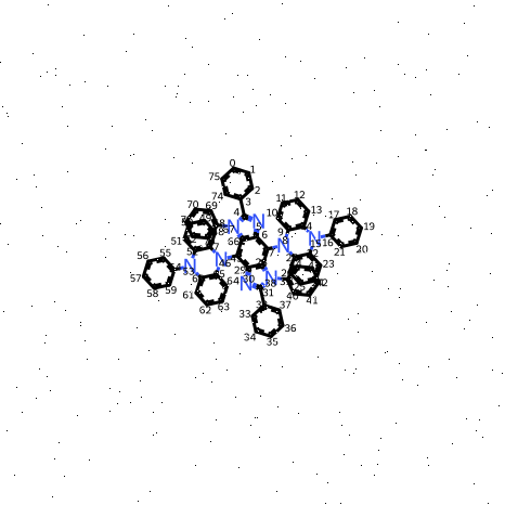 c1ccc(-c2nc3c(N4c5ccccc5N(c5ccccc5)c5ccccc54)c4c(nc(-c5ccccc5)n4-c4ccccc4)c(N4c5ccccc5N(c5ccccc5)c5ccccc54)c3n2-c2ccccc2)cc1